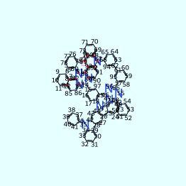 c1ccc(-c2nc(-c3ccccc3)nc(-c3ccc(-n4c5ccccc5c5cc6c7ccccc7n(-c7ccccc7)c6cc54)c(-c4nc(-c5ccccc5)nc(-c5cccc(-c6cccc(N7c8ccccc8B8c9ccccc9N(c9ccccc9)c9cccc7c98)c6)c5)n4)c3)n2)cc1